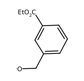 CCOC(=O)c1cccc(C[O])c1